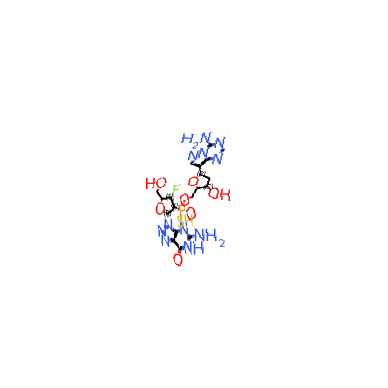 Nc1nc2c(nnn2[C@@H]2OC(CO)[C@H](F)[C@H]2P(=O)(S)OCC2O[C@@H](c3cnn4c(N)ncnc34)C[C@@H]2O)c(=O)[nH]1